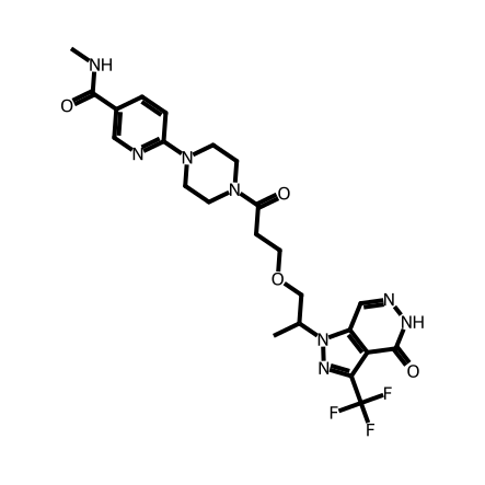 CNC(=O)c1ccc(N2CCN(C(=O)CCOCC(C)n3nc(C(F)(F)F)c4c(=O)[nH]ncc43)CC2)nc1